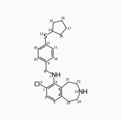 Clc1ccc2c(c1NCc1ccc(SC3CCCC3)cc1)CCNCC2